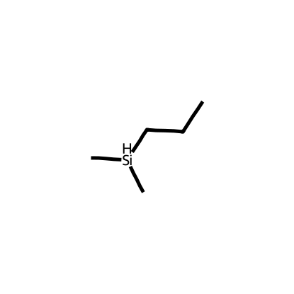 CCC[SiH](C)C